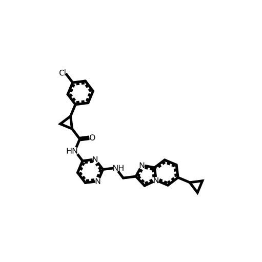 O=C(Nc1ccnc(NCc2cn3cc(C4CC4)ccc3n2)n1)C1CC1c1cccc(Cl)c1